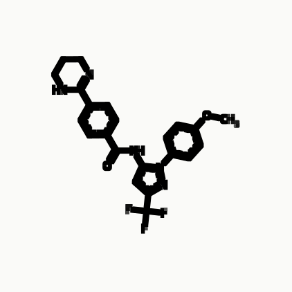 COc1ccc(-n2nc(C(F)(F)F)cc2NC(=O)c2ccc(C3=NCCCN3)cc2)cc1